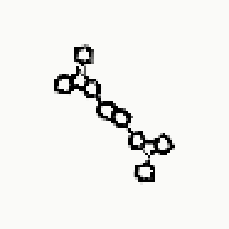 c1ccc(-n2c3ccccc3c3cc(-c4ccc5cc(-c6ccc7c(c6)c6ccccc6n7-c6ccccc6)ccc5c4)ccc32)cc1